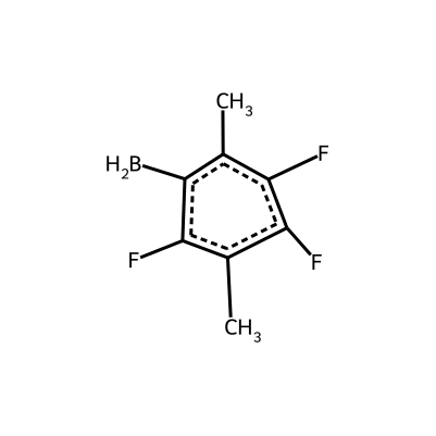 Bc1c(C)c(F)c(F)c(C)c1F